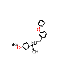 C#CC(CC)(CCCc1cccc(Oc2ccccc2)c1)c1ccc(OCCCC)cc1